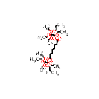 CCCOC(OCC)(OC(=O)CCCCCCC(=O)OC(OCC)(OCCC)C(OCC)(OCC)OCC)C(OCC)(OCC)OCC